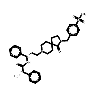 C[C@H](C(=O)N[C@@H](CCN1CCC2(CC1)CCN(Cc1ccc(S(C)(=O)=O)cc1)C2=O)c1ccccc1)c1ccccc1